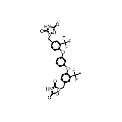 O=c1[nH]c(=O)n(Cc2ccc(Oc3cccc(Oc4ccc(Cn5oc(=O)[nH]c5=O)cc4C(F)(F)F)c3)c(C(F)(F)F)c2)o1